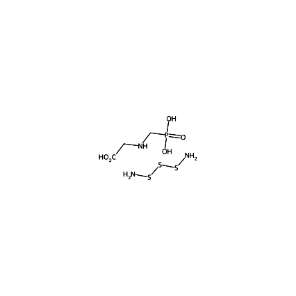 NSSSN.O=C(O)CNCP(=O)(O)O